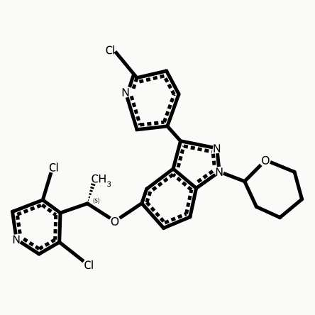 C[C@H](Oc1ccc2c(c1)c(-c1ccc(Cl)nc1)nn2C1CCCCO1)c1c(Cl)cncc1Cl